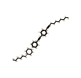 CCCCCCCCC#Cc1ccc(C#Cc2ccc([C@H]3CC[C@H](CCCCCC)CC3)cc2)cc1